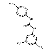 CSc1ccc(NC(=S)Nc2cc(C(F)(F)F)cc(C(F)(F)F)c2)cc1